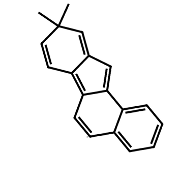 CC1(C)C=CC2=c3c[c]c4ccccc4c3=CC2=C1